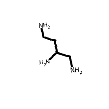 NCCC(N)CN